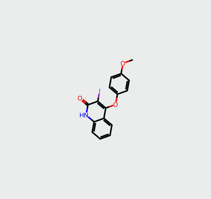 COc1ccc(Oc2c(I)c(=O)[nH]c3ccccc23)cc1